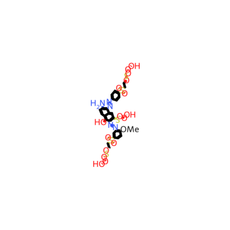 COc1ccc(S(=O)(=O)CCOSOOO)cc1/N=N/c1c(SOOO)cc2c(/N=N/c3ccc(S(=O)(=O)CCOSOOO)cc3)c(N)ccc2c1O